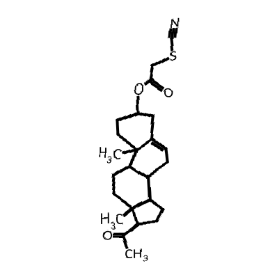 CC(=O)C1CCC2C3CC=C4CC(OC(=O)CSC#N)CCC4(C)C3CCC12C